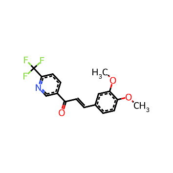 COc1ccc(/C=C/C(=O)c2ccc(C(F)(F)F)nc2)cc1OC